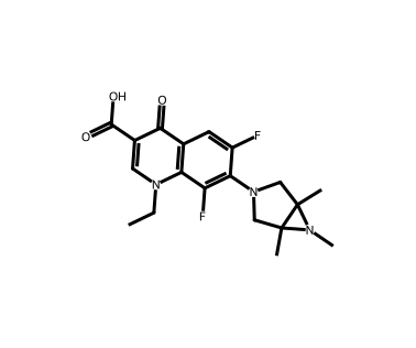 CCn1cc(C(=O)O)c(=O)c2cc(F)c(N3CC4(C)N(C)C4(C)C3)c(F)c21